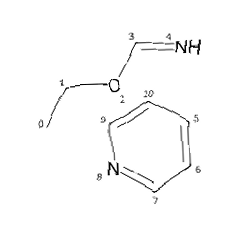 CCOC=N.c1ccncc1